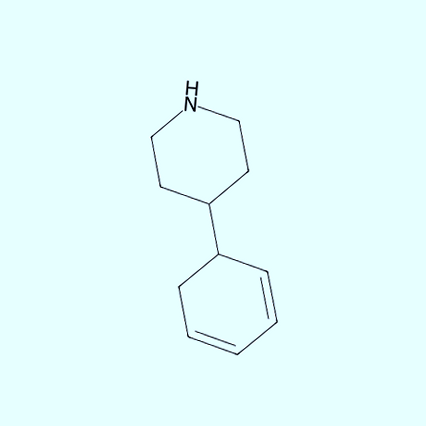 C1=CCC(C2CCNCC2)C=C1